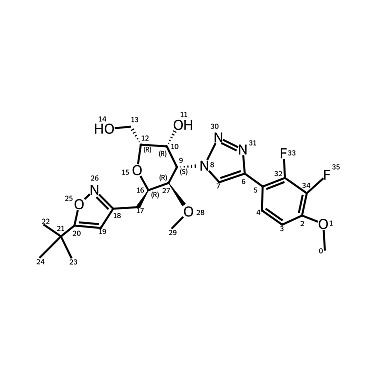 COc1ccc(-c2cn([C@H]3[C@@H](O)[C@@H](CO)O[C@H](Cc4cc(C(C)(C)C)on4)[C@@H]3OC)nn2)c(F)c1F